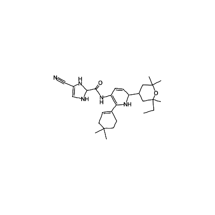 CCC1(C)CC(C2C=CC(NC(=O)C3NC=C(C#N)N3)=C(C3=CCC(C)(C)CC3)N2)CC(C)(C)O1